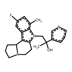 Cc1cc(F)cc2c3c(n(CC(C)(O)c4cccnc4)c12)CCN1CCCC31